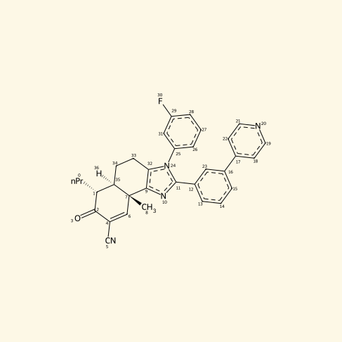 CCC[C@H]1C(=O)C(C#N)=C[C@@]2(C)c3nc(-c4cccc(-c5ccncc5)c4)n(-c4cccc(F)c4)c3CC[C@H]12